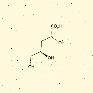 O=C(O)[C@H](O)C[C@@H](O)CO